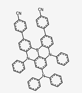 N#Cc1ccc(-c2ccc3c(c2)B2c4cc(-c5ccc(C#N)cc5)ccc4N(c4ccccc4)c4cc(N(c5ccccc5)c5ccccc5)cc(c42)N3c2ccccc2)cc1